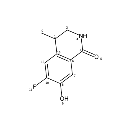 CC1CNC(=O)c2cc(O)c(F)cc21